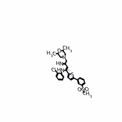 CC1CN(CC(=N)/C=C(\Nc2ccccc2Cl)c2ccc(-c3cccc(S(C)(=O)=O)c3)s2)CC(C)O1